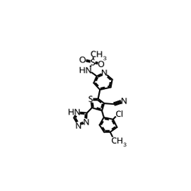 Cc1ccc(-c2c(-c3nnc[nH]3)sc(-c3ccnc(NS(C)(=O)=O)c3)c2C#N)c(Cl)c1